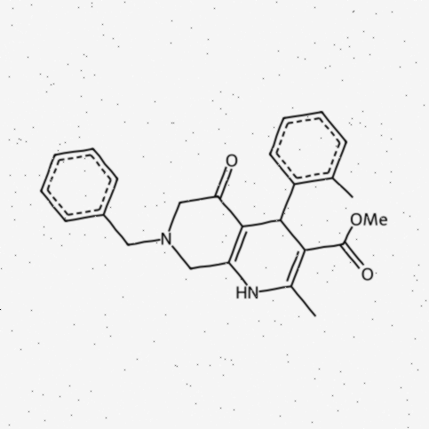 COC(=O)C1=C(C)NC2=C(C(=O)CN(Cc3ccccc3)C2)C1c1ccccc1C